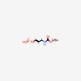 CC(C)(C)OC(=O)NCC=COBO